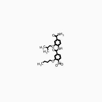 CCCCOc1cc(C(=O)Nc2ccc(C(N)=O)cc2OCC(C)C)ccc1[N+](=O)[O-]